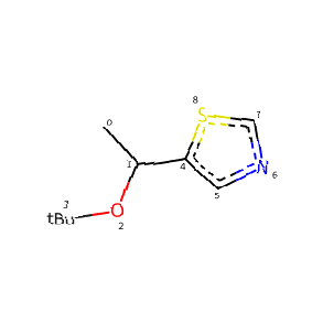 CC(OC(C)(C)C)c1cncs1